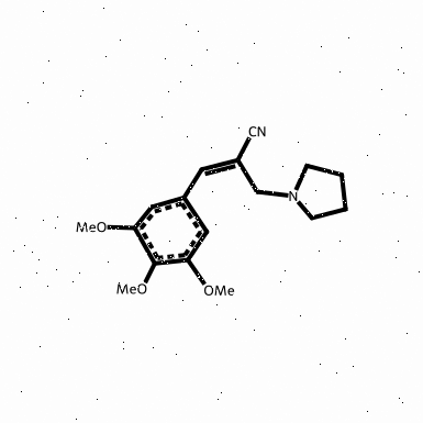 COc1cc(C=C(C#N)CN2CCCC2)cc(OC)c1OC